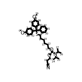 COc1ccc(C(SCCCCCCOP(OCCC#N)N(C(C)C)C(C)C)(c2ccccc2)c2ccc(OC)cc2)cc1